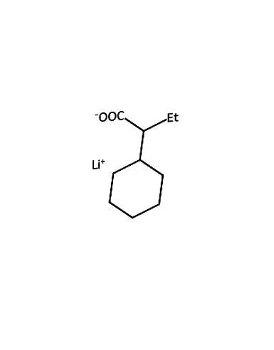 CCC(C(=O)[O-])C1CCCCC1.[Li+]